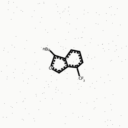 CCCCc1occ2c(C(F)(F)F)cccc12